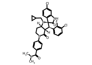 CN(C)C(=O)c1ccc(N2CC[C@H]3[C@@H](C2=O)[C@H](c2cccc(Cl)c2F)[C@]2(C(=O)Nc4cc(Cl)ccc42)N3CC2CC2)cc1